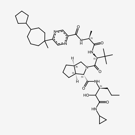 CCC[C@H](NC(=O)[C@@H]1[C@H]2CCC[C@H]2CN1C(=O)[C@@H](NC(=O)[C@H](C)NC(=O)c1cnc(C2(C)CCCC(C3CCCC3)CC2)cn1)C(C)(C)C)C(O)C(=O)NC1CC1